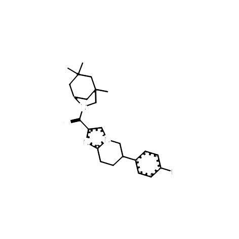 CC1(C)CC2CC(C)(CN2C(=O)c2cn3c(n2)CCC(c2ccc(F)cc2)C3)C1